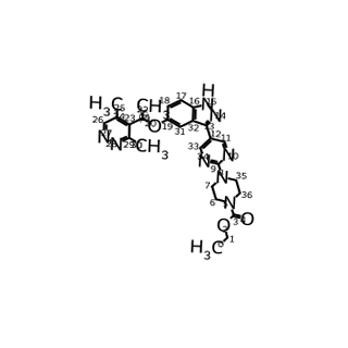 CCOC(=O)N1CCN(c2ncc(-c3n[nH]c4ccc(O[C@H](C)c5c(C)cnnc5C)cc34)cn2)CC1